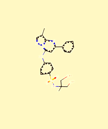 Cc1cnn2c(Nc3ccc(S(=O)(=O)NC(C)(CO)CO)cc3)cc(-c3ccccc3)nc12